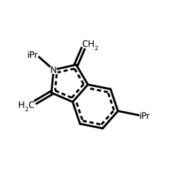 C=c1c2ccc(C(C)C)cc2c(=C)n1C(C)C